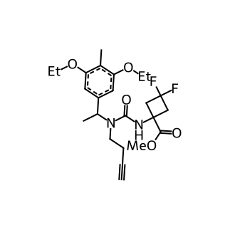 C#CCCN(C(=O)NC1(C(=O)OC)CC(F)(F)C1)C(C)c1cc(OCC)c(C)c(OCC)c1